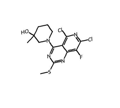 CSc1nc(N2CCCC(C)(O)C2)c2c(Cl)nc(Cl)c(F)c2n1